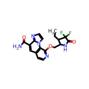 CCC1C(COc2nccc3cc(C(N)=O)c4nccn4c23)NC(=O)C1(F)F